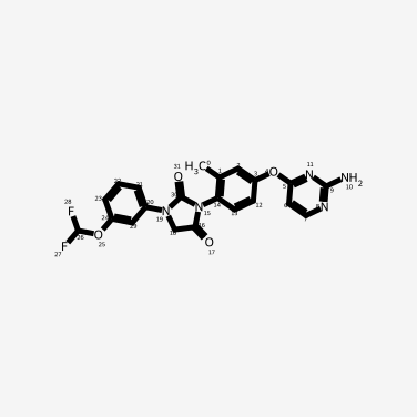 Cc1cc(Oc2ccnc(N)n2)ccc1N1C(=O)CN(c2cccc(OC(F)F)c2)C1=O